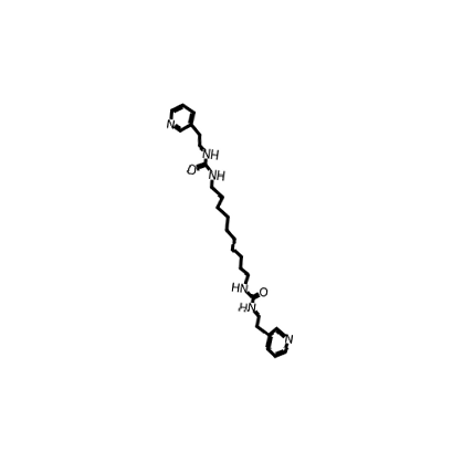 O=C(NCCCCCCCCCCNC(=O)NCCc1cccnc1)NCCc1cccnc1